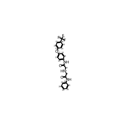 O=C(CNCC(=O)Nc1ccc(Oc2ccc(C(F)(F)F)cc2)cc1)Nc1ccccc1